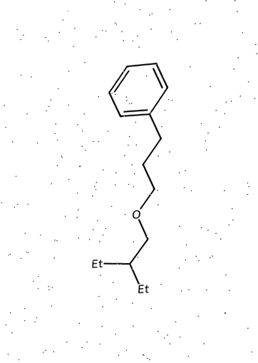 CCC(CC)COCCCc1ccccc1